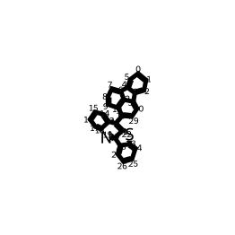 c1ccc2c(c1)-c1cccc3c(-c4c5ccccc5nc5c4sc4ccccc45)ccc-2c13